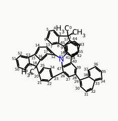 CC1(C)c2ccccc2-c2c(N3c4ccc5c(c4)C(C)(c4ccc(cc4)-c4cc(-c6cccc7ccccc67)cc(-c6ccccc6)c43)c3ccccc3-5)cccc21